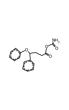 NC(=O)OC(=O)CCC(Oc1ccccc1)c1ccccc1